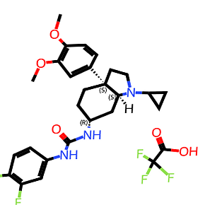 COc1ccc([C@@]23CC[C@@H](NC(=O)Nc4ccc(F)c(F)c4)C[C@@H]2N(C2CC2)CC3)cc1OC.O=C(O)C(F)(F)F